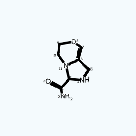 NC(=O)C1NCC2=COCCN21